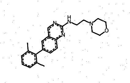 Cc1cccc(C)c1-c1ccc2nc(NCCN3CCOCC3)ncc2c1